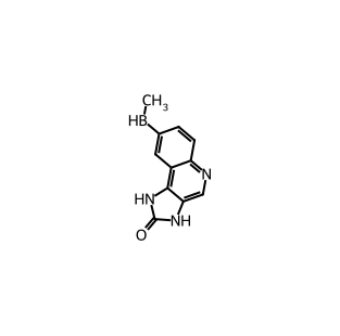 CBc1ccc2ncc3[nH]c(=O)[nH]c3c2c1